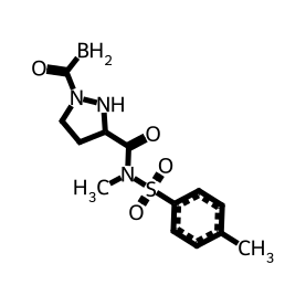 BC(=O)N1CCC(C(=O)N(C)S(=O)(=O)c2ccc(C)cc2)N1